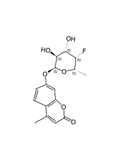 Cc1cc(=O)oc2cc(O[C@@H]3O[C@@H](C)[C@@H](F)[C@@H](O)[C@@H]3O)ccc12